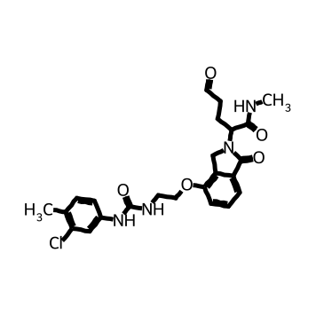 CNC(=O)C(CCC=O)N1Cc2c(OCCNC(=O)Nc3ccc(C)c(Cl)c3)cccc2C1=O